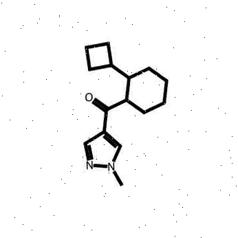 Cn1cc(C(=O)C2CCCCC2C2CCC2)cn1